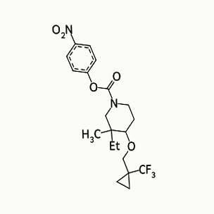 CCC1(C)CN(C(=O)Oc2ccc([N+](=O)[O-])cc2)CCC1OCC1(C(F)(F)F)CC1